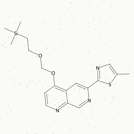 Cc1cnc(-c2cc3c(OCOCC[Si](C)(C)C)ccnc3cn2)s1